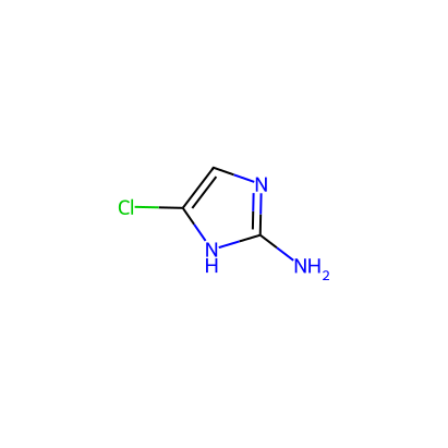 Nc1ncc(Cl)[nH]1